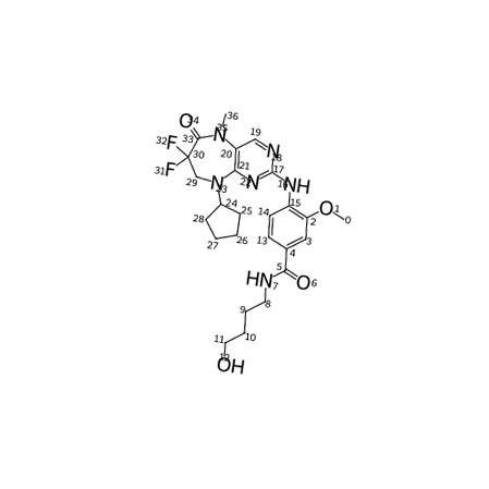 COc1cc(C(=O)NCCCCO)ccc1Nc1ncc2c(n1)N(C1CCCC1)CC(F)(F)C(=O)N2C